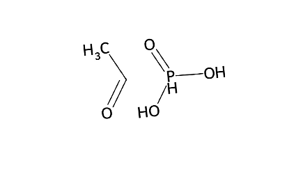 CC=O.O=[PH](O)O